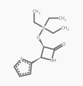 CC[Si](CC)(CC)O[C@H]1C(=O)N[C@H]1c1cccs1